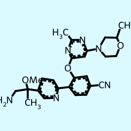 COC(C)(CN)c1ccc(-c2ccc(C#N)cc2Oc2cc(N3CCOC(C)C3)nc(C)n2)nc1